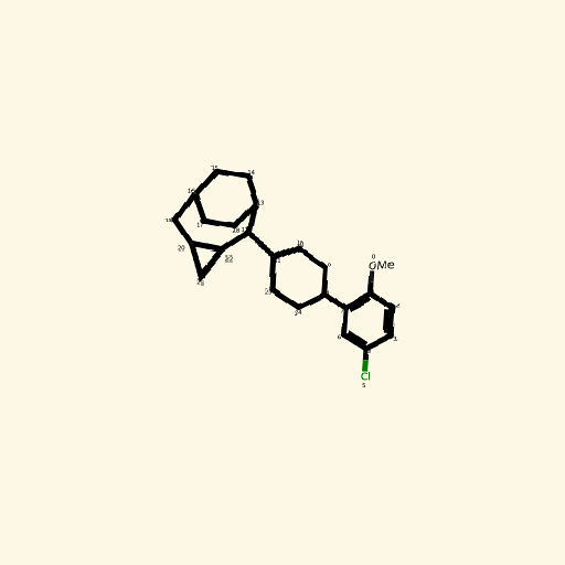 COc1ccc(Cl)cc1C1CCC(C2C3CCC(CC3)CC3CC32)CC1